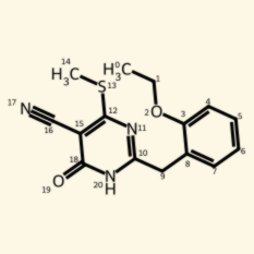 CCOc1ccccc1Cc1nc(SC)c(C#N)c(=O)[nH]1